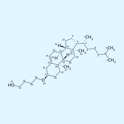 CC(C)CCC[C@@H](C)[C@H]1CC[C@H]2[C@@H]3CC=C4C[C@H](OCCCCO)CC[C@]4(C)[C@H]3CC[C@]12C